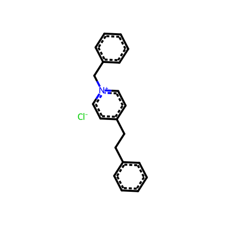 [Cl-].c1ccc(CCc2cc[n+](Cc3ccccc3)cc2)cc1